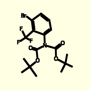 CC(C)(C)OC(=O)N(C(=O)OC(C)(C)C)c1cccc(Br)c1C(F)(F)F